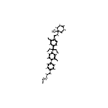 CCC(CC)(c1ccc(CCC2(O)CCCCC2)c(C)c1)c1ccc(-c2ccc(CCOOC)cc2)c(C)c1